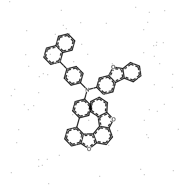 c1ccc2c(-c3ccc(N(c4ccc(-c5cccc6oc7ccc8oc9ccccc9c8c7c56)cc4)c4ccc5c(c4)oc4ccccc45)cc3)cccc2c1